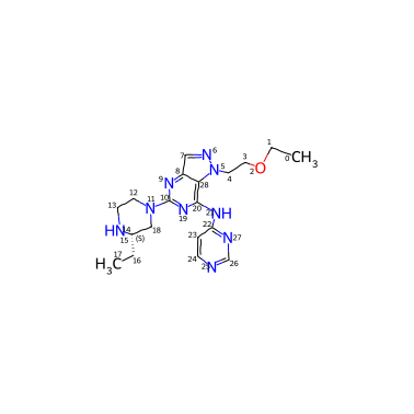 CCOCCn1ncc2nc(N3CCN[C@@H](CC)C3)nc(Nc3ccncn3)c21